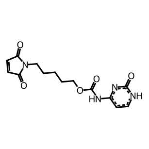 O=C(Nc1cc[nH]c(=O)n1)OCCCCCN1C(=O)C=CC1=O